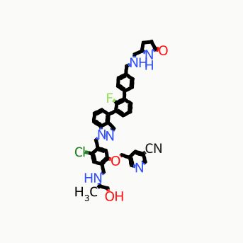 CC(CO)NCc1cc(Cl)c(Cn2ncc3c(-c4cccc(-c5ccc(CNCC6CCC(=O)N6)cc5)c4F)cccc32)cc1OCc1cncc(C#N)c1